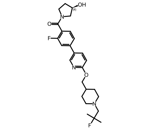 CC(C)(F)CN1CCC(COc2ccc(-c3ccc(C(=O)N4CC[C@@H](O)C4)c(F)c3)cn2)CC1